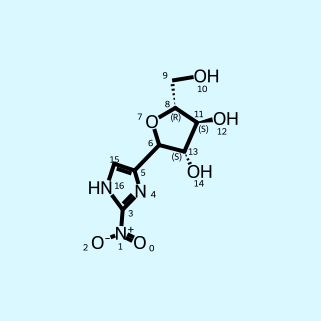 O=[N+]([O-])c1nc(C2O[C@H](CO)[C@@H](O)[C@@H]2O)c[nH]1